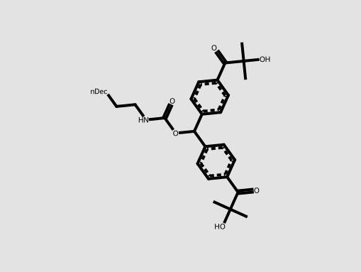 CCCCCCCCCCCCNC(=O)OC(c1ccc(C(=O)C(C)(C)O)cc1)c1ccc(C(=O)C(C)(C)O)cc1